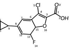 O=C(O)C1=C(Cl)C2=CC(C3CC3)=CC(F)C2O1